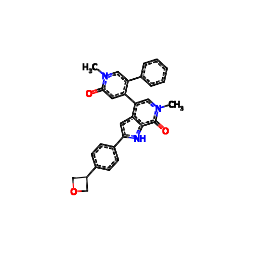 Cn1cc(-c2ccccc2)c(-c2cn(C)c(=O)c3[nH]c(-c4ccc(C5COC5)cc4)cc23)cc1=O